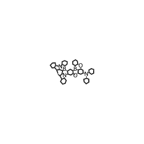 c1ccc(N(c2ccccc2)c2cc3c4c(c2)Oc2cc5c(cc2B4c2ccccc2O3)B2c3ccccc3-n3c4ccccc4c4cc6c7ccccc7n-5c6c2c43)cc1